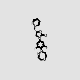 O=C1O[C@@H](CN2C=CC=C=N2)CN1c1cc(F)c(N2CCOCC=N2)c(F)c1